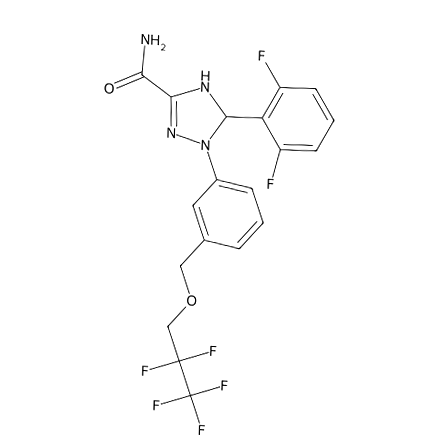 NC(=O)C1=NN(c2cccc(COCC(F)(F)C(F)(F)F)c2)C(c2c(F)cccc2F)N1